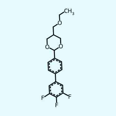 CCOCC1COC(c2ccc(-c3cc(F)c(F)c(F)c3)cc2)OC1